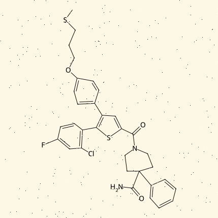 CSCCCOc1ccc(-c2cc(C(=O)N3CCC(C(N)=O)(c4ccccc4)CC3)sc2-c2ccc(F)cc2Cl)cc1